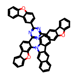 C1=c2oc3ccccc3c2=CC(c2nc(-c3ccc4oc5ccccc5c4c3)nc(-c3ccc4c(oc5ccccc54)c3-n3c4ccccc4c4cc5ccccc5cc43)n2)C1